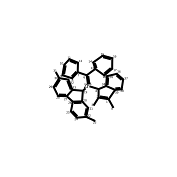 CC1=C(C)[CH]([Zr](=[C](c2ccccc2)c2ccccc2)[CH]2c3cc(C)ccc3-c3ccc(C)cc32)c2ccccc21